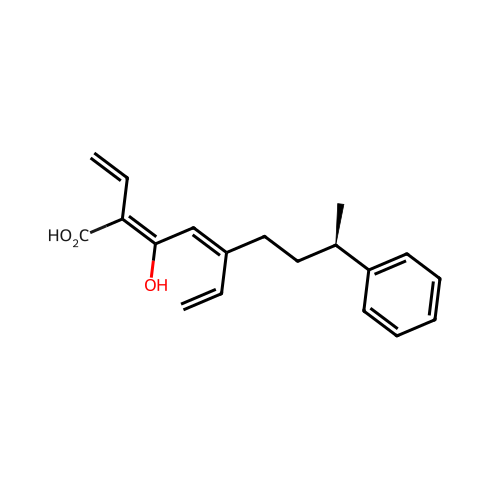 C=C/C(=C\C(O)=C(/C=C)C(=O)O)CC[C@@H](C)c1ccccc1